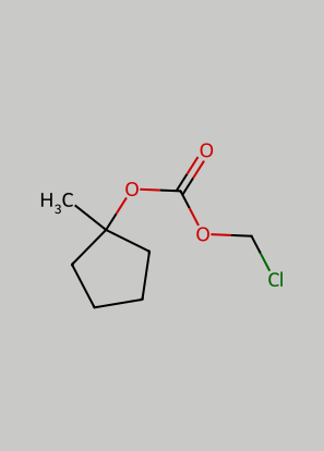 CC1(OC(=O)OCCl)CCCC1